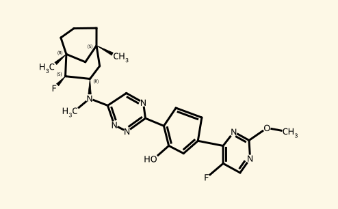 COc1ncc(F)c(-c2ccc(-c3ncc(N(C)[C@@H]4C[C@@]5(C)CCC[C@](C)(C5)[C@@H]4F)nn3)c(O)c2)n1